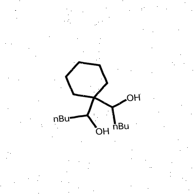 CCCCC(O)C1(C(O)CCCC)CCCCC1